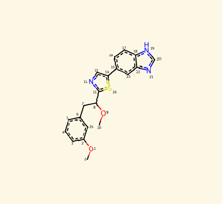 COc1cccc(CC(OC)c2ncc(-c3ccc4[nH]cnc4c3)s2)c1